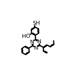 C=C/C(=C\C=C/C)c1nc(-c2ccccc2)nc(-c2ccc(S)cc2O)n1